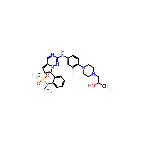 CC(O)CN1CCN(c2ccc(Nc3ncc4ccc(-c5ccccc5N(C)S(C)(=O)=O)n4n3)cc2F)CC1